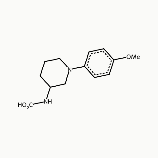 COc1ccc(N2CCCC(NC(=O)O)C2)cc1